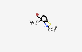 Cc1c(CBr)ccc2sc(C(=O)O)nc12